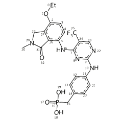 CCOc1ccc(Nc2nc(Nc3ccc(CP(=O)(O)O)cc3)ncc2C(F)(F)F)c2c1CN(C)C2=O